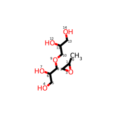 CC1CO1.OCC(O)COCC(O)CO